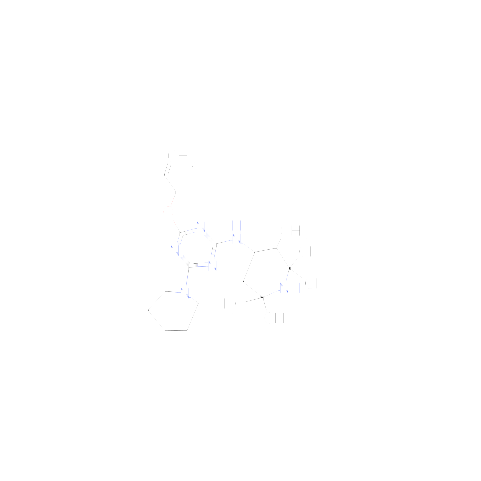 C=CCOc1nc(NC2CC(C)(C)NC(C)(C)C2C)nc(N2CCCCC2)n1